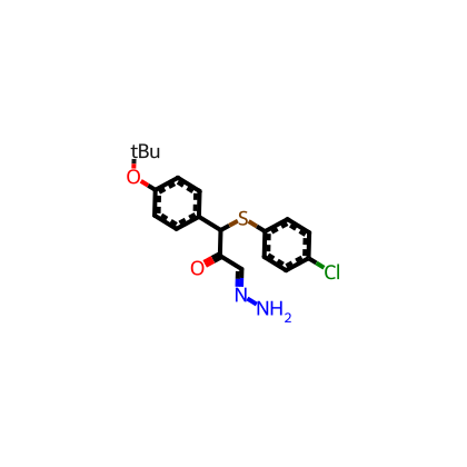 CC(C)(C)Oc1ccc(C(Sc2ccc(Cl)cc2)C(=O)C=NN)cc1